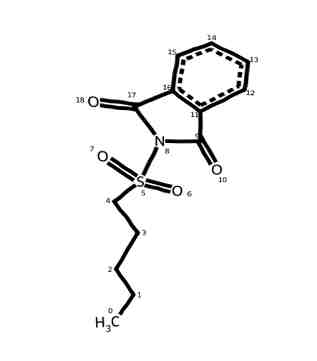 CCCCCS(=O)(=O)N1C(=O)c2ccccc2C1=O